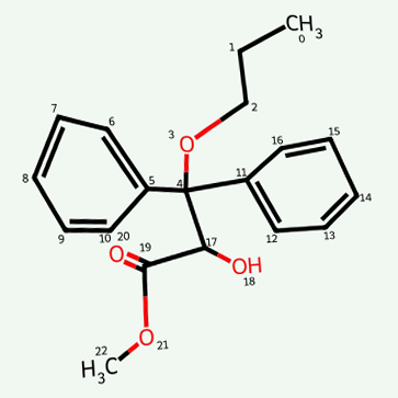 CCCOC(c1ccccc1)(c1ccccc1)C(O)C(=O)OC